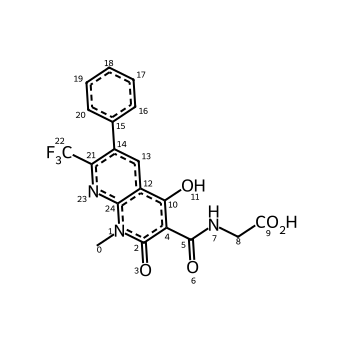 Cn1c(=O)c(C(=O)NCC(=O)O)c(O)c2cc(-c3ccccc3)c(C(F)(F)F)nc21